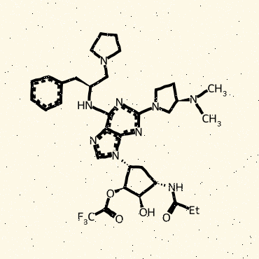 CCC(=O)N[C@H]1C[C@@H](n2cnc3c(N[C@@H](Cc4ccccc4)CN4CCCC4)nc(N4CC[C@@H](N(C)C)C4)nc32)[C@H](OC(=O)C(F)(F)F)[C@@H]1O